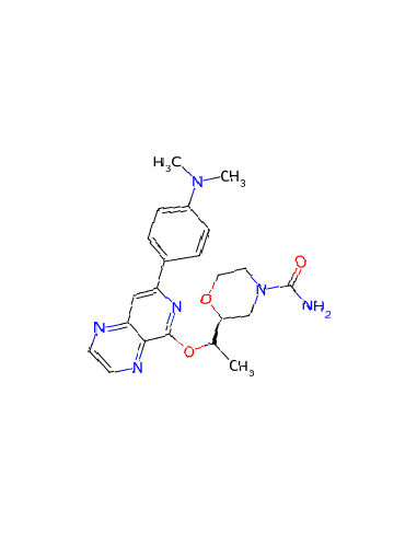 CC(Oc1nc(-c2ccc(N(C)C)cc2)cc2nccnc12)[C@@H]1CN(C(N)=O)CCO1